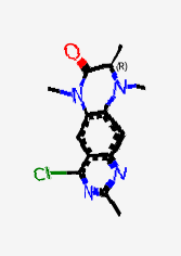 Cc1nc(Cl)c2cc3c(cc2n1)N(C)[C@H](C)C(=O)N3C